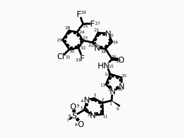 C[C@@H](c1cnc(S(C)(=O)=O)nc1)n1cc(NC(=O)c2cncc(-c3c(C(F)F)ccc(Cl)c3F)n2)cn1